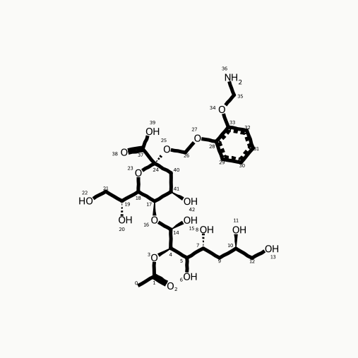 CC(=O)O[C@H](C(O)[C@H](O)C[C@@H](O)CO)[C@H](O)O[C@H]1C([C@H](O)CO)O[C@@](OCOc2ccccc2OCN)(C(=O)O)C[C@H]1O